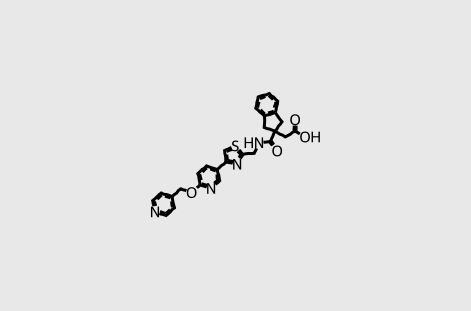 O=C(O)CC1(C(=O)NCc2nc(-c3ccc(OCc4ccncc4)nc3)cs2)Cc2ccccc2C1